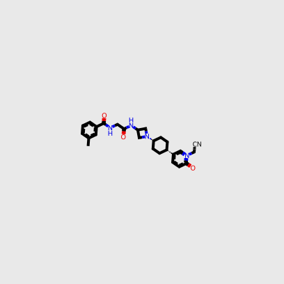 Cc1cccc(C(=O)NCC(=O)NC2CN([C@H]3CC[C@@H](c4ccc(=O)n(CC#N)c4)CC3)C2)c1